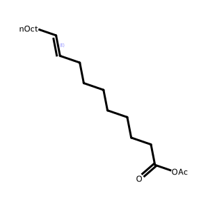 CCCCCCCC/C=C/CCCCCCCC(=O)OC(C)=O